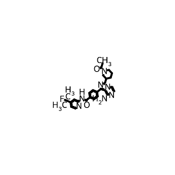 CCC(=O)N1CCCC(c2nc(-c3ccc(C(=O)Nc4cc(C(C)(C)F)ccn4)cc3)c3c(N)nccn23)C1